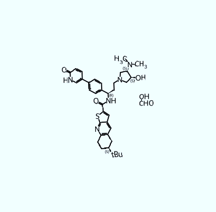 CN(C)[C@H]1CN(CC[C@@H](NC(=O)c2cc3cc4c(nc3s2)CC[C@H](C(C)(C)C)C4)c2ccc(-c3ccc(=O)[nH]c3)cc2)C[C@@H]1O.O=CO